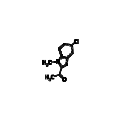 CC(=O)c1cc2cc(Cl)ccc2n1C